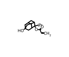 C=CC(=O)OC1(C(C)C)C2CC3CC1CC(O)(C3)C2